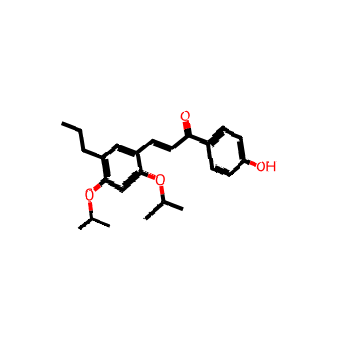 CCCc1cc(C=CC(=O)c2ccc(O)cc2)c(OC(C)C)cc1OC(C)C